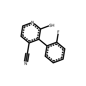 N#Cc1ccnc(S)c1-c1ccccc1F